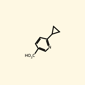 O=C(O)c1ccc(C2CC2)nc1